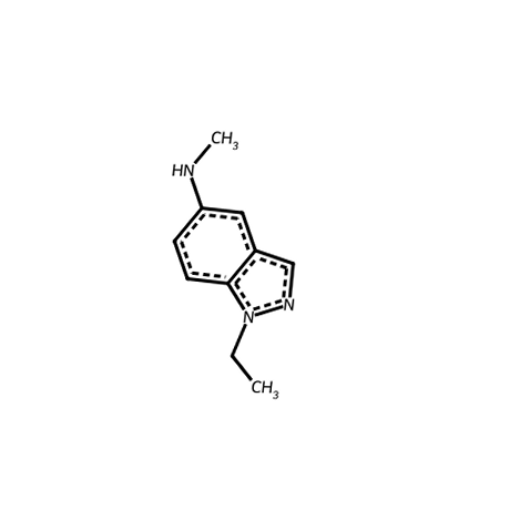 CCn1ncc2cc(NC)ccc21